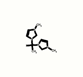 CN1C=CN(C(C)(I)N2C=CN(C)C2)C1